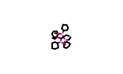 CCP(CC)C(P(C1CCCCC1)C1CCCCC1)C(CC)(P(CC)CC)P(C1CCCCC1)C1CCCCC1